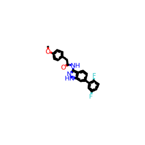 COc1ccc(CC(=O)Nc2n[nH]c3cc(-c4cc(F)ccc4F)ccc23)cc1